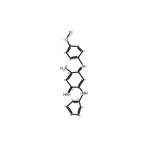 CCOc1ccc(/N=C2/C=C(Nc3ccccc3)C(=N)C=C2N)cc1